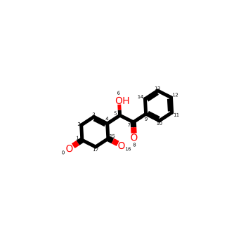 O=C1CC=C(C(O)C(=O)c2ccccc2)C(=O)C1